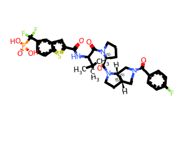 CC(C)(C)C(NC(=O)c1cc2cc(C(F)(F)P(=O)(O)O)ccc2s1)C(=O)N1CCC[C@H]1C(=O)N1CC[C@H]2CN(C(=O)c3ccc(F)cc3)C[C@H]21